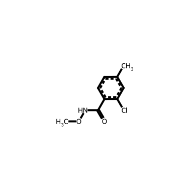 CONC(=O)c1ccc(C)cc1Cl